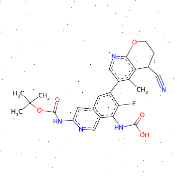 Cc1c(-c2cc3cc(NC(=O)OC(C)(C)C)ncc3c(NC(=O)O)c2F)cnc2c1C(C#N)CCO2